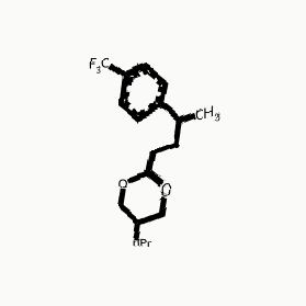 CCCC1COC(CCC(C)c2ccc(C(F)(F)F)cc2)OC1